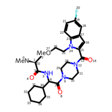 CN[C@@H](C)C(=O)NC(C(=O)N1CCN(C(=O)c2cc3cc(F)ccc3n2CCOC)CC1)C1CCCCC1